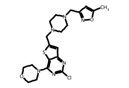 Cc1cc(CN2CCN(Cc3cc4nc(Cl)nc(N5CCOCC5)c4s3)CC2)no1